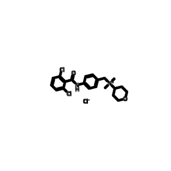 C[N+](C)(Cc1ccc(NC(=O)c2c(Cl)cccc2Cl)cc1)C1CCOCC1.[Cl-]